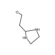 [O]CCC1NCCN1